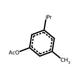 [CH2]C(C)c1cc(C)cc(OC(C)=O)c1